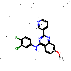 COc1ccc2c(Nc3ccc(F)c(Cl)c3)nc(-c3cccnc3)nc2c1